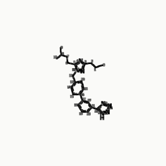 CCCc1nc(CCC(C)C)n(Cc2ccc(-c3cccc(-c4nnn[nH]4)c3)cc2)n1